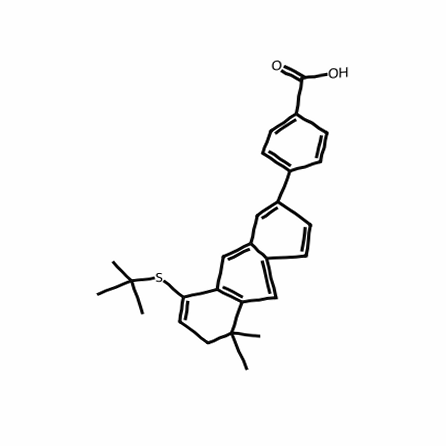 CC(C)(C)SC1=CCC(C)(C)c2cc3ccc(-c4ccc(C(=O)O)cc4)cc3cc21